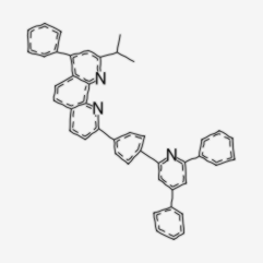 CC(C)c1cc(-c2ccccc2)c2ccc3ccc(-c4ccc(-c5cc(-c6ccccc6)cc(-c6ccccc6)n5)cc4)nc3c2n1